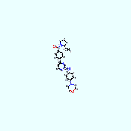 C[C@@H]1CCCN1C(=O)c1ccc(-c2ccnc(Nc3ccc(N4CCOCC4)cc3)n2)cc1